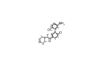 C[C@@H](Nc1ccc(Cl)c(-c2cc(N)ncc2Cl)n1)C1CCOCC1